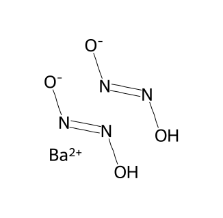 [Ba+2].[O-]N=NO.[O-]N=NO